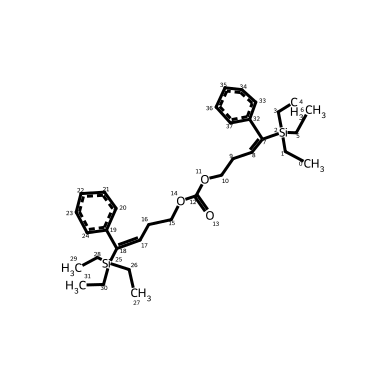 CC[Si](CC)(CC)/C(=C/CCOC(=O)OCC/C=C(\c1ccccc1)[Si](CC)(CC)CC)c1ccccc1